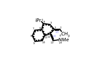 C/C=c1/cc(C(C)C)c2ccccc2/c1=C/NC